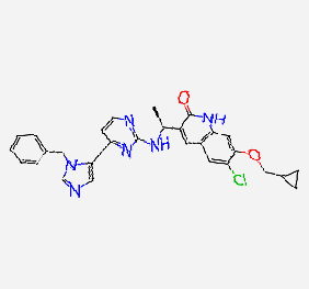 C[C@H](Nc1nccc(-c2cncn2Cc2ccccc2)n1)c1cc2cc(Cl)c(OCC3CC3)cc2[nH]c1=O